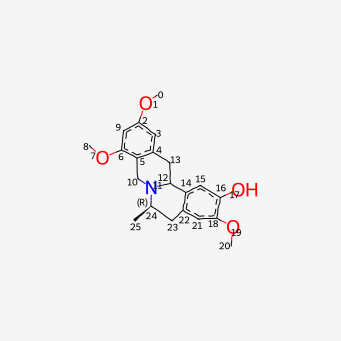 COc1cc2c(c(OC)c1)CN1C(C2)c2cc(O)c(OC)cc2C[C@H]1C